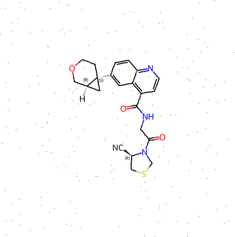 N#C[C@@H]1CSCN1C(=O)CNC(=O)c1ccnc2ccc([C@@]34CCOC[C@@H]3C4)cc12